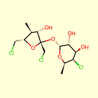 C[C@@H]1[C@@H](CCl)O[C@@](CCl)(O[C@H]2O[C@H](C)[C@H](Cl)[C@H](O)[C@H]2O)[C@H]1O